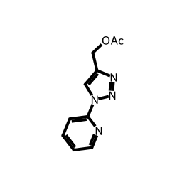 CC(=O)OCc1cn(-c2ccccn2)nn1